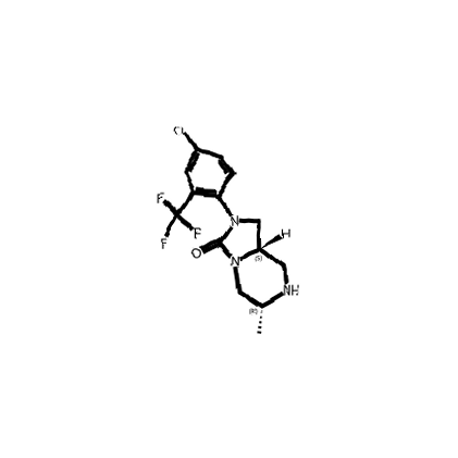 C[C@@H]1CN2C(=O)N(c3ccc(Cl)cc3C(F)(F)F)C[C@@H]2CN1